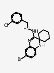 Clc1cccc(CNNC2=Nc3cc(Br)ccc3NC23CCCCC3)c1